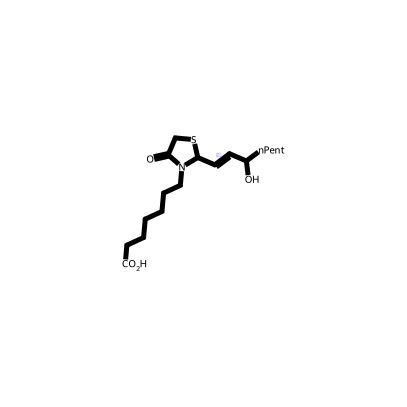 CCCCCC(O)/C=C/C1SCC(=O)N1CCCCCCC(=O)O